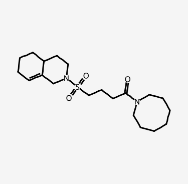 O=C(CCCS(=O)(=O)N1CCC2CCCC=C2C1)N1CCCCCCC1